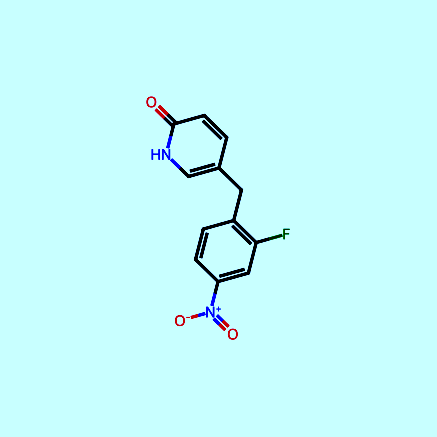 O=c1ccc(Cc2ccc([N+](=O)[O-])cc2F)c[nH]1